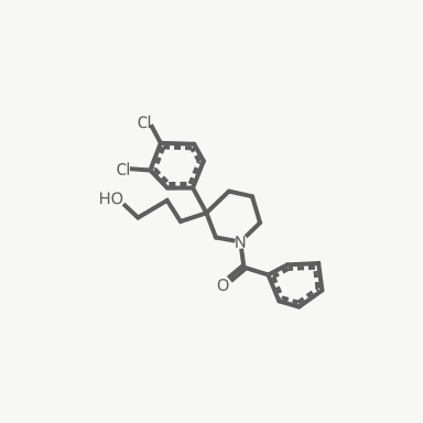 O=C(c1ccccc1)N1CCCC(CCCO)(c2ccc(Cl)c(Cl)c2)C1